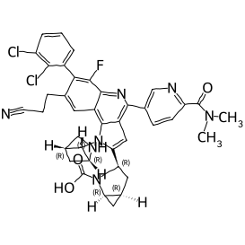 CN(C)C(=O)c1ccc(-c2nc3c(F)c(-c4cccc(Cl)c4Cl)c(CCC#N)cc3c3c2cc([C@H]2C[C@H]4C[C@H]4N2C(=O)O)n3[C@H]2[C@H]3CN[C@@H]2C3)cn1